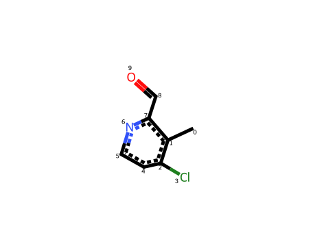 Cc1c(Cl)ccnc1C=O